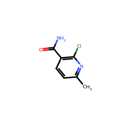 Cc1c[c]c(C(N)=O)c(Cl)n1